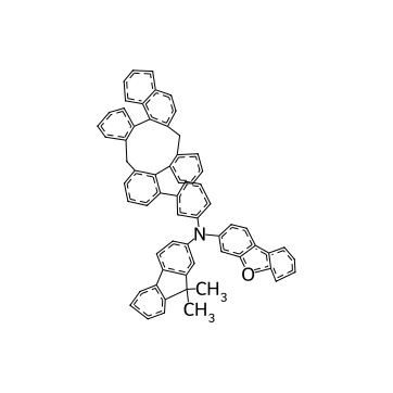 CC1(C)c2ccccc2-c2ccc(N(c3cccc(-c4cccc5c4-c4ccccc4Cc4ccc6ccccc6c4-c4ccccc4C5)c3)c3ccc4c(c3)oc3ccccc34)cc21